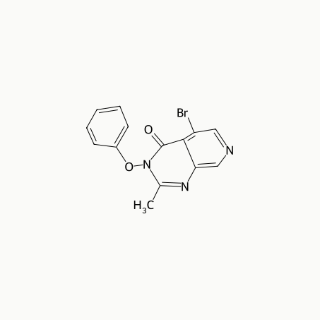 Cc1nc2cncc(Br)c2c(=O)n1Oc1ccccc1